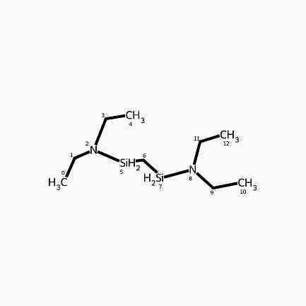 CCN(CC)[SiH2]C[SiH2]N(CC)CC